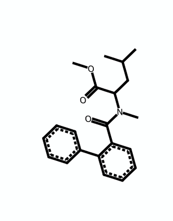 COC(=O)C(CC(C)C)N(C)C(=O)c1ccccc1-c1ccccc1